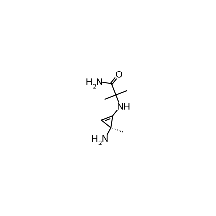 CC(C)(NC1=C[C@]1(C)N)C(N)=O